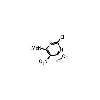 CCO.CNc1nc(Cl)ncc1[N+](=O)[O-]